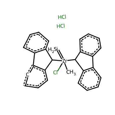 Cl.Cl.[CH3][Zr](=[SiH2])([Cl])([CH]1c2ccccc2-c2ccccc21)[CH]1c2ccccc2-c2ccccc21